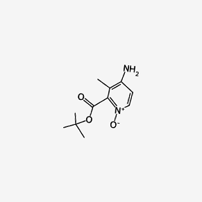 Cc1c(N)cc[n+]([O-])c1C(=O)OC(C)(C)C